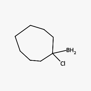 BC1(Cl)CCCCCCC1